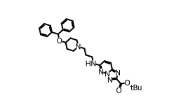 CC(C)(C)OC(=O)c1nc2ccc(NCCCN3CCC(OC(c4ccccc4)c4ccccc4)CC3)nn2n1